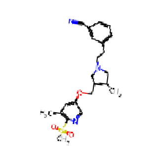 Cc1cc(OCC2CN(CCc3cccc(C#N)c3)CC2C)cnc1S(C)(=O)=O